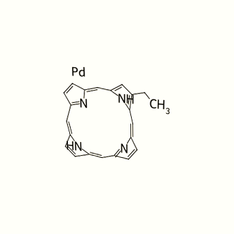 CCc1cc2cc3nc(cc4ccc(cc5nc(cc1[nH]2)C=C5)[nH]4)C=C3.[Pd]